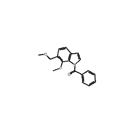 COCc1ccc2ccn(C(=O)c3ccccc3)c2c1OC